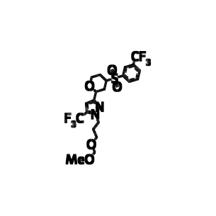 COCOCCCn1nc(C2CC(S(=O)(=O)c3cccc(C(F)(F)F)c3)CCO2)cc1C(F)(F)F